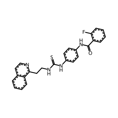 O=C(Nc1ccc(NC(=S)NCCc2nccc3ccccc23)cc1)c1ccccc1F